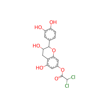 O=C(Oc1cc(O)c2c(c1)OC(c1ccc(O)c(O)c1)C(O)C2)C(Cl)Cl